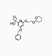 OC1(c2cc(OCc3ccccc3)cc(OCCOC3CCCCO3)n2)COC1